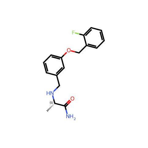 C[C@H](NCc1cccc(OCc2ccccc2F)c1)C(N)=O